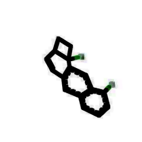 Clc1cccc2cc3c(cc12)C1(Cl)CCC1C=C3